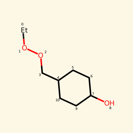 CCOOCC1CCC(O)CC1